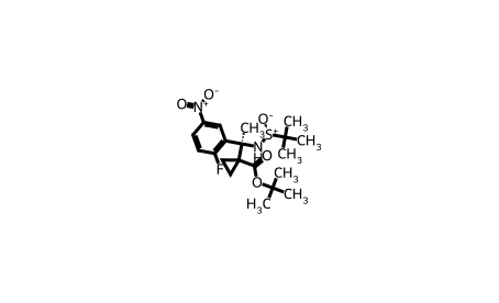 CC(C)(C)OC(=O)C1([C@](C)(N[S@+]([O-])C(C)(C)C)c2cc([N+](=O)[O-])ccc2F)CC1